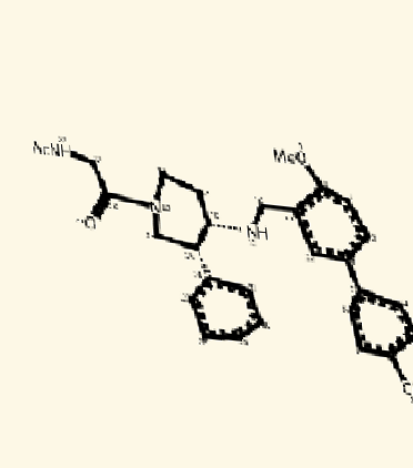 COc1ccc(-c2ccc(C#N)cc2)cc1CN[C@H]1CCN(C(=O)CNC(C)=O)C[C@H]1c1ccccc1